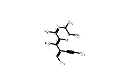 CC#CC(=CC)/C(C)=C(O)/C(N)=N\C(C)CC